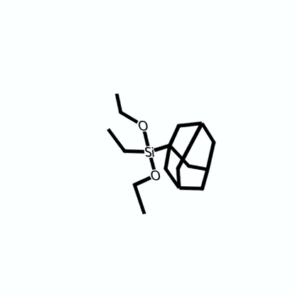 CCO[Si](CC)(OCC)C12CC3CC(CC(C3)C1)C2